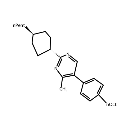 CCCCCCCCc1ccc(-c2cnc([C@H]3CC[C@H](CCCCC)CC3)nc2C)cc1